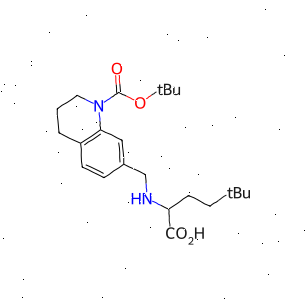 CC(C)(C)CCC(NCc1ccc2c(c1)N(C(=O)OC(C)(C)C)CCC2)C(=O)O